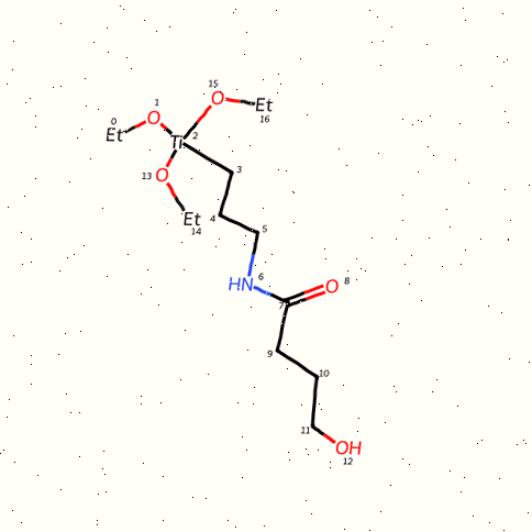 CC[O][Ti]([CH2]CCNC(=O)CCCO)([O]CC)[O]CC